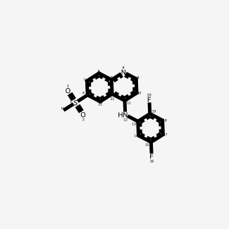 CS(=O)(=O)c1ccc2nccc(Nc3cc(F)ccc3F)c2c1